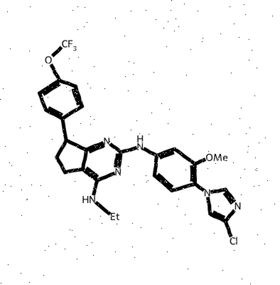 CCNc1nc(Nc2ccc(-n3cnc(Cl)c3)c(OC)c2)nc2c1CCC2c1ccc(OC(F)(F)F)cc1